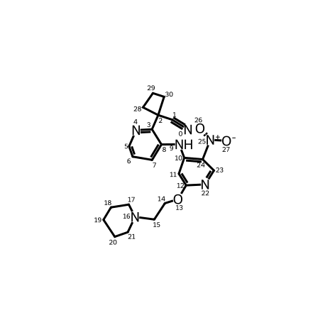 N#CC1(c2ncccc2Nc2cc(OCCN3CCCCC3)ncc2[N+](=O)[O-])CCC1